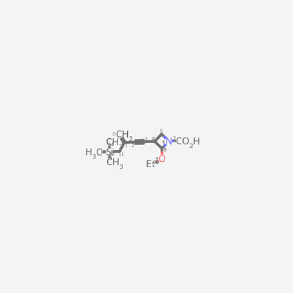 C=C(C#CC1CN(C(=O)O)C1OCC)C[Si](C)(C)C